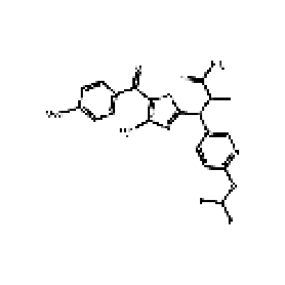 COc1ccc(C(=O)c2sc(N(c3ccc(OC(F)F)nc3)C(C)C(N)=O)nc2N)cc1